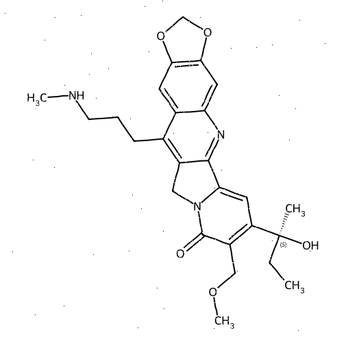 CC[C@](C)(O)c1cc2n(c(=O)c1COC)Cc1c-2nc2cc3c(cc2c1CCCNC)OCO3